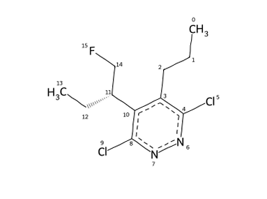 CCCc1c(Cl)nnc(Cl)c1[C@H](CC)CF